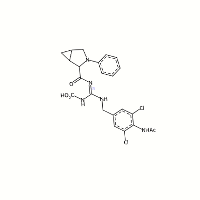 CC(=O)Nc1c(Cl)cc(CN/C(=N/C(=O)C2C3CC3CN2c2ccccc2)NC(=O)O)cc1Cl